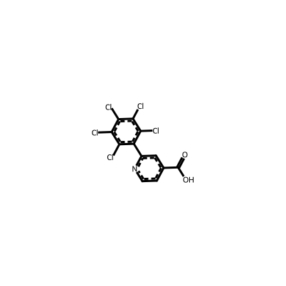 O=C(O)c1ccnc(-c2c(Cl)c(Cl)c(Cl)c(Cl)c2Cl)c1